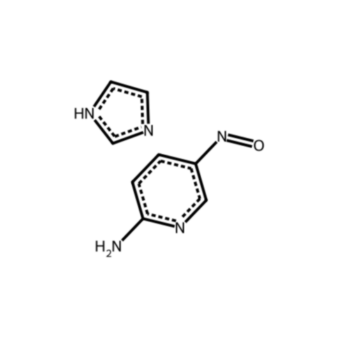 Nc1ccc(N=O)cn1.c1c[nH]cn1